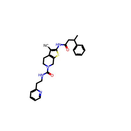 CC(CC(=O)Nc1sc2c(c1C#N)CCN(C(=O)NCCc1ccccn1)C2)c1ccccc1